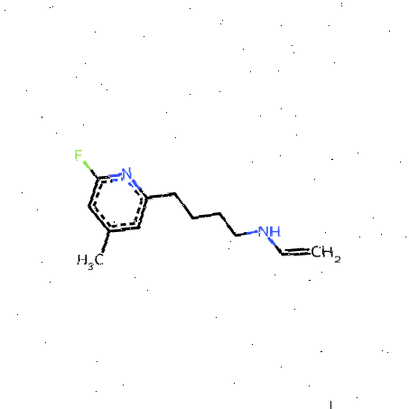 C=CNCCCCc1cc(C)cc(F)n1